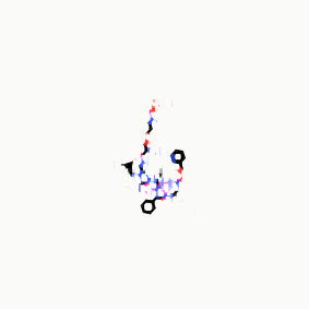 CCCC[C@@H](C(=O)N(C)[C@@H](CC(C)C)C(=O)N[C@H](C(=O)N[C@@H](CNC(=O)OCc1ccccc1)C(=O)O)C1CCCCC1)N(CC1CC1)C[C@@H](C)NC(=O)[C@@H](N)COCCCNC(=O)OC(C)(C)C